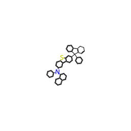 C1=CC2=C(CC1)c1ccccc1C2(c1ccccc1)c1ccc2c(c1)sc1ccc(N(c3ccccc3)c3cccc4ccccc34)cc12